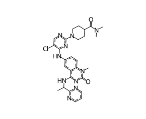 CC(Nc1nc(=O)n(C)c2ccc(Nc3nc(N4CCC(C(=O)N(C)C)CC4)ncc3Cl)cc12)c1ncccn1